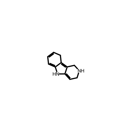 C1=CCc2c3c([nH]c2=C1)=CCNC3